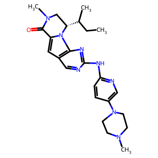 CCC(C)[C@H]1CN(C)C(=O)c2cc3cnc(Nc4ccc(N5CCN(C)CC5)cn4)nc3n21